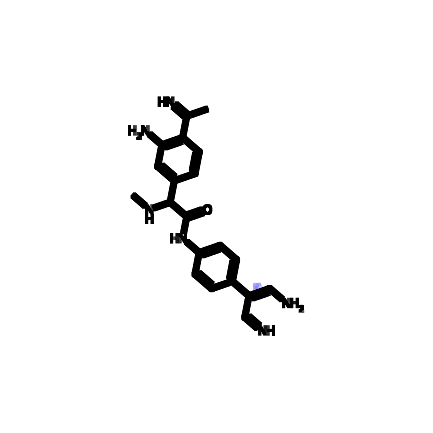 CNC(C(=O)Nc1ccc(/C(C=N)=C/N)cc1)c1ccc(C(C)=N)c(N)c1